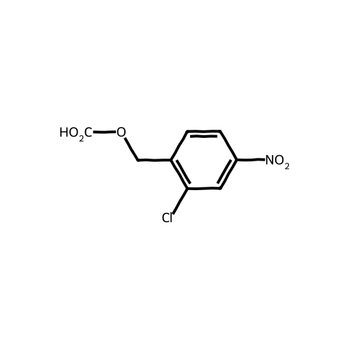 O=C(O)OCc1ccc([N+](=O)[O-])cc1Cl